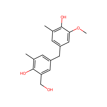 COc1cc(Cc2cc(C)c(O)c(CO)c2)cc(C)c1O